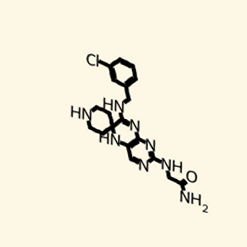 NC(=O)CNc1ncc2c(n1)N=C(NCc1cccc(Cl)c1)C1(CCNCC1)N2